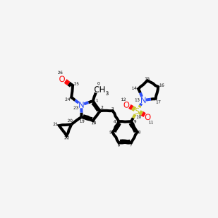 Cc1c(Cc2ccccc2S(=O)(=O)N2CCCC2)cc(C2CC2)n1CC=O